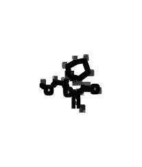 COCC(=O)N1CCC[CH][C@@H]1C(N)=O